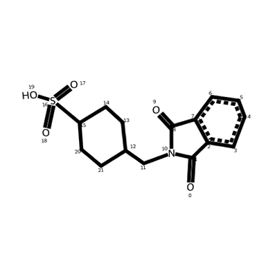 O=C1c2ccccc2C(=O)N1CC1CCC(S(=O)(=O)O)CC1